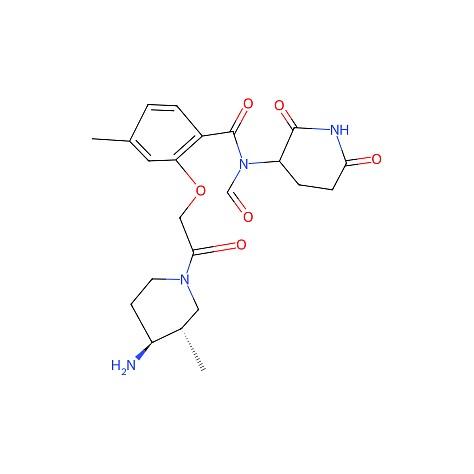 Cc1ccc(C(=O)N(C=O)C2CCC(=O)NC2=O)c(OCC(=O)N2CC[C@H](N)[C@@H](C)C2)c1